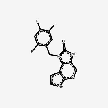 O=c1[nH]c2cnc3[nH]ccc3c2n1Cc1cc(F)c(F)cc1F